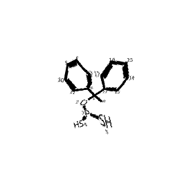 CC(OP(S)S)(c1ccccc1)c1ccccc1